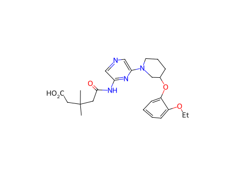 CCOc1ccccc1OC1CCCN(c2cncc(NC(=O)CC(C)(C)CC(=O)O)n2)C1